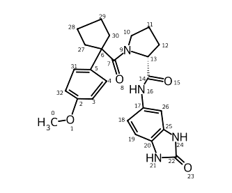 COc1ccc(C2(C(=O)N3CCC[C@@H]3C(=O)Nc3ccc4[nH]c(=O)[nH]c4c3)CCCC2)cc1